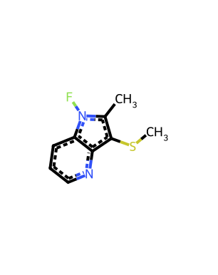 CSc1c(C)n(F)c2cccnc12